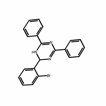 Brc1ccccc1C1N=C(c2ccccc2)N=C(c2ccccc2)N1